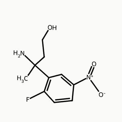 CC(N)(CCO)c1cc([N+](=O)[O-])ccc1F